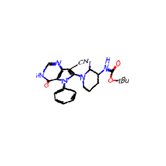 CC(C)(C)OC(=O)NC1CCCN(c2c(C#N)c3nc[nH]c(=O)c3n2-c2ccccc2)C1I